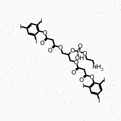 NCCOP(=O)(O)OC(COC(=O)CC(=O)Oc1c(I)cc(I)cc1I)COC(=O)CC(=O)Oc1c(I)cc(I)cc1I